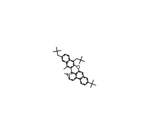 Cc1c2c(c(CC(C)(C)C)c3ccc(CC(C)(C)C)cc13)Oc1cc3cc(C(C)(C)C)ccc3c3cc[n+](C)c-2c13